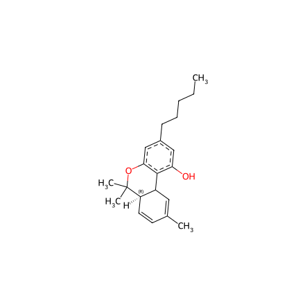 CCCCCc1cc(O)c2c(c1)OC(C)(C)[C@@H]1C=CC(C)=CC21